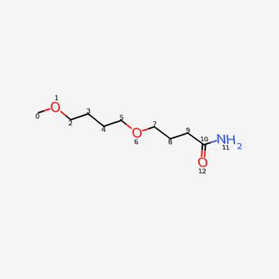 COCCCCOCCCC(N)=O